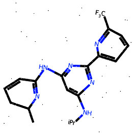 CC1CC=CC(Nc2cc(NC(C)C)nc(-c3cccc(C(F)(F)F)n3)n2)=N1